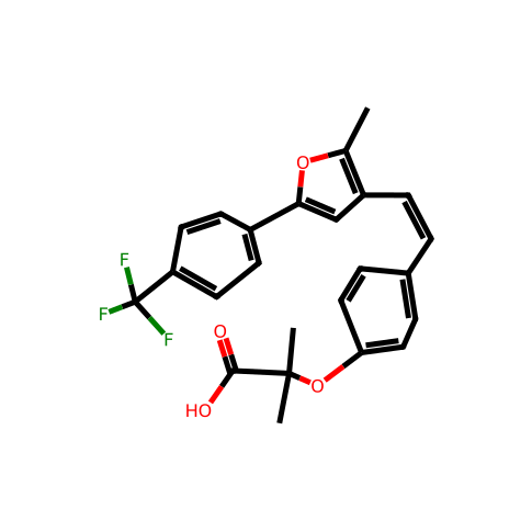 Cc1oc(-c2ccc(C(F)(F)F)cc2)cc1/C=C\c1ccc(OC(C)(C)C(=O)O)cc1